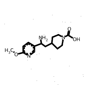 COc1ccc(C(N)CC2CCN(C(=O)O)CC2)cn1